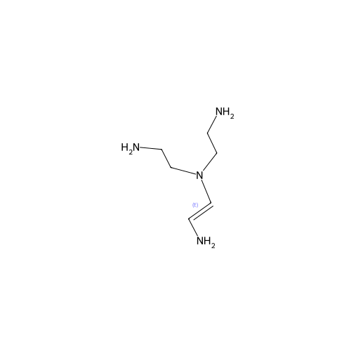 N/C=C/N(CCN)CCN